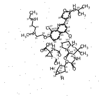 C=C[C@@H]1C[C@]1(NC(=O)[C@@H]1C[C@H](Oc2cc(-c3coc(NC(C)C)n3)nc3c(Cl)c(OCCN(C)CCNCC)ccc23)CN1C(=O)[C@@H](NC(=O)OC1C[C@@H]2C[C@@H]2C1)C(C)(C)C)C(=O)O